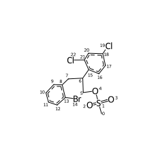 CS(=O)(=O)OCC(Cc1ccccc1Br)c1ccc(Cl)cc1Cl